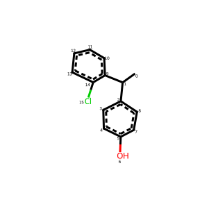 CC(c1ccc(O)cc1)c1ccccc1Cl